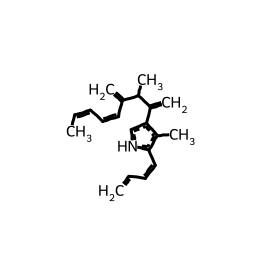 C=C/C=C\c1[nH]cc(C(=C)C(C)C(=C)/C=C\C=C/C)c1C